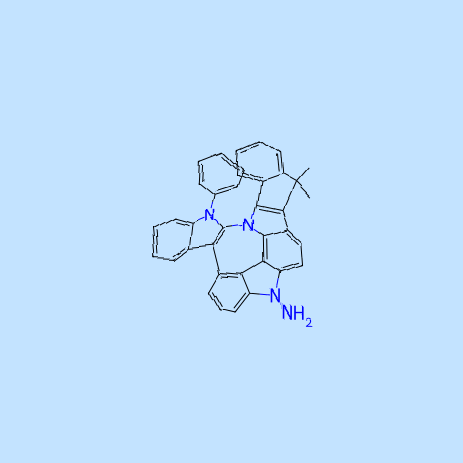 CC1(C)c2ccccc2-c2c1c1ccc3c4c5c(cccc5n3N)c3c5ccccc5n(-c5ccccc5)c3n2c14